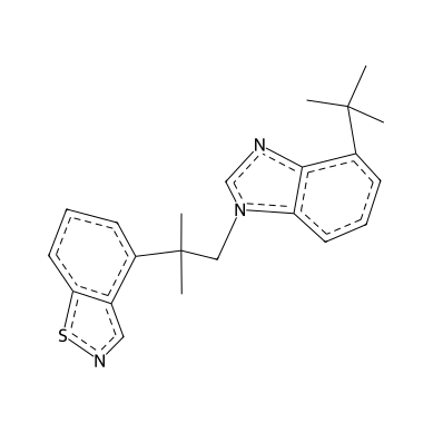 CC(C)(C)c1cccc2c1ncn2CC(C)(C)c1cccc2sncc12